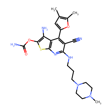 Cc1cc(-c2c(C#N)c(NCCCN3CCN(C)CC3)nc3sc(OC(N)=O)c(N)c23)oc1C